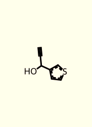 C#CC(O)c1ccsc1